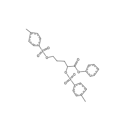 Cc1ccc(S(=O)(=O)OCCCC(OS(=O)(=O)c2ccc(C)cc2)C(=O)Oc2ccccc2)cc1